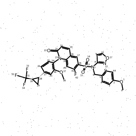 COc1ccc(CN(c2ccon2)S(=O)(=O)c2cc3ccc(=O)n(-c4ccc([C@@H]5C[C@H]5C(F)(F)F)cc4OC)c3cc2F)cc1